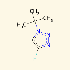 CC(C)(C)n1cc(F)nn1